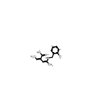 C/C=C(/C=C(/C)NCc1ccccc1Cl)C(=O)O